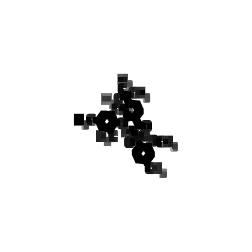 COc1cc(C)ccc1S(=O)(=O)NC(=O)c1ccc(C(C)(C)C)nc1Oc1c(C)cc(C)cc1C